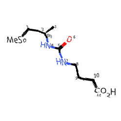 CSC[C@@H](C)NC(=O)NCCCC(=O)O